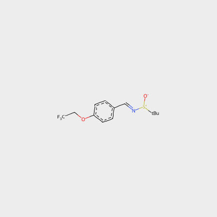 CC(C)(C)[S+]([O-])N=Cc1ccc(OCC(F)(F)F)cc1